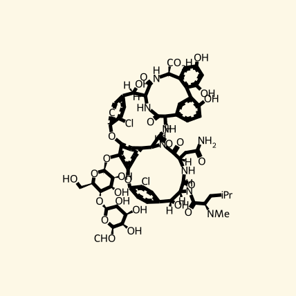 CN[C@H](CC(C)C)C(=O)N[C@H]1C(=O)N[C@@H](CC(N)=O)C(=O)N[C@H]2C(=O)N[C@H]3C(=O)N[C@H](C(=O)N[C@@H](C(=O)O)c4cc(O)cc(O)c4-c4cc3ccc4O)[C@H](O)c3ccc(c(Cl)c3)Oc3cc2cc(c3O[C@@H]2O[C@H](CO)[C@@H](O[C@@H]3O[C@H](C=O)[C@H](O)[C@H](O)[C@H]3O)[C@H](O)[C@H]2O)Oc2ccc(cc2Cl)[C@H]1O